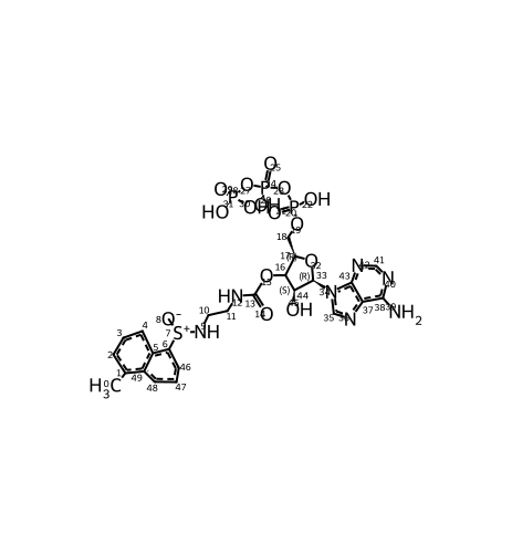 Cc1cccc2c([S+]([O-])NCCNC(=O)OC3[C@@H](COP(=O)(O)OP(=O)(O)OP(=O)(O)O)O[C@@H](n4cnc5c(N)ncnc54)[C@H]3O)cccc12